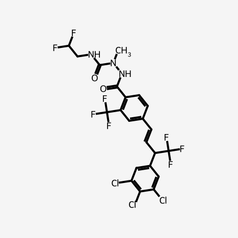 CN(NC(=O)c1ccc(/C=C/C(c2cc(Cl)c(Cl)c(Cl)c2)C(F)(F)F)cc1C(F)(F)F)C(=O)NCC(F)F